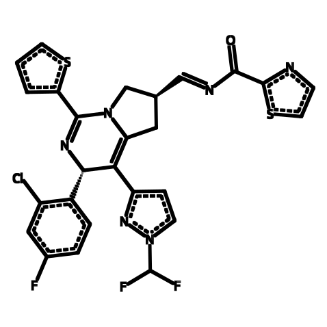 O=C(/N=C/[C@H]1CC2=C(c3ccn(C(F)F)n3)[C@H](c3ccc(F)cc3Cl)N=C(c3cccs3)N2C1)c1nccs1